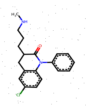 CNCCCC1Cc2cc(Cl)ccc2N(c2ccccc2)C1=O